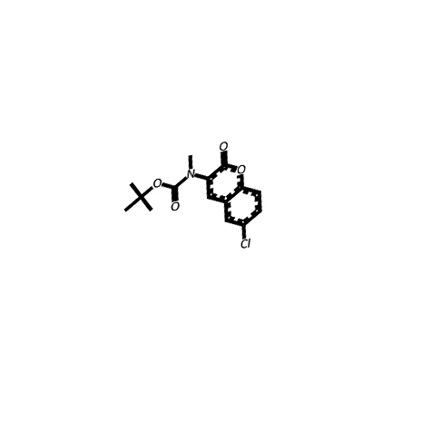 CN(C(=O)OC(C)(C)C)c1cc2cc(Cl)ccc2oc1=O